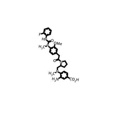 COc1cc(CC(=O)N2CCCC2CN(C)c2ccc(C(=O)O)cc2N)ccc1N(C)C(=O)Nc1ccccc1F